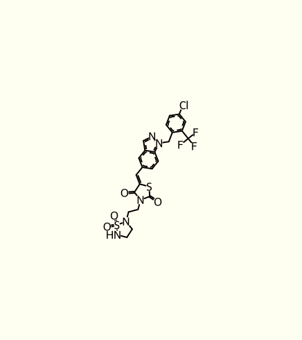 O=C1S/C(=C\c2ccc3c(cnn3Cc3ccc(Cl)cc3C(F)(F)F)c2)C(=O)N1CCN1CCNS1(=O)=O